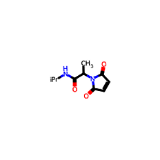 CC(C)NC(=O)C(C)N1C(=O)C=CC1=O